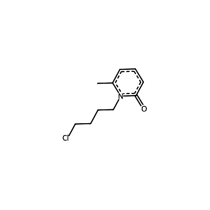 Cc1cccc(=O)n1CCCCCl